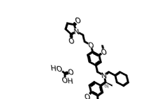 COc1cc(CN(CC2CCCCC2)[C@@H](C)c2ccc3c(c2)CCO3)ccc1OCCN1C(=O)CCC1=O.O=C(O)O